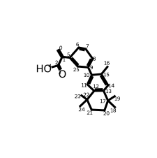 C=C(C(=O)O)c1cccc(-c2cc3c(cc2C)C(C)(C)CCC3(C)C)c1